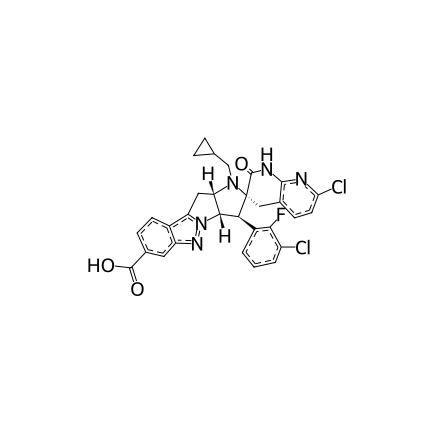 O=C(O)c1ccc2c3n(nc2c1)[C@@H]1[C@H](C3)N(CC2CC2)[C@]2(Cc3ccc(Cl)nc3NC2=O)[C@H]1c1cccc(Cl)c1F